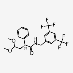 COC(C[C@H](C(=O)NCc1cc(C(F)(F)F)cc(C(F)(F)F)c1)c1ccccc1)OC